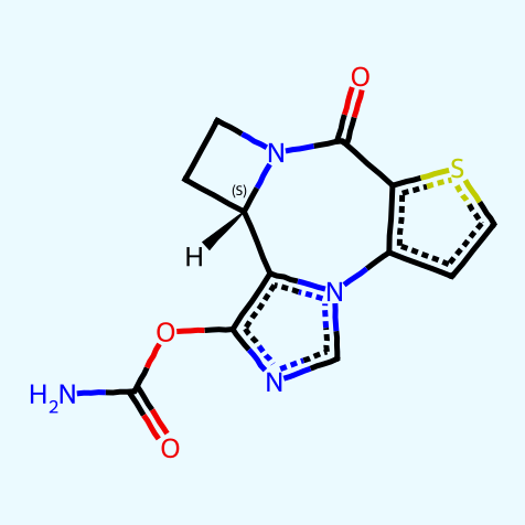 NC(=O)Oc1ncn2c1[C@@H]1CCN1C(=O)c1sccc1-2